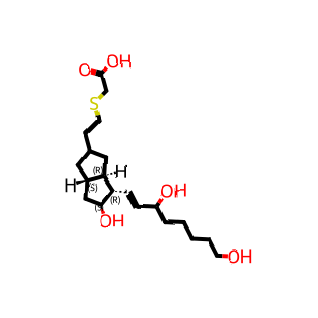 O=C(O)CSCCC1C[C@H]2C[C@H](O)[C@@H](C=CC(O)CCCCCO)[C@@H]2C1